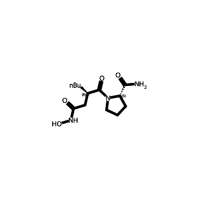 CCCC[C@H](CC(=O)NO)C(=O)N1CCC[C@H]1C(N)=O